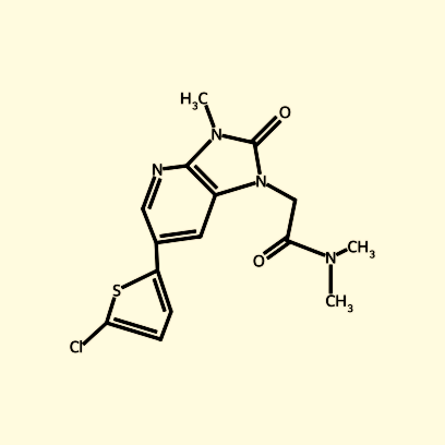 CN(C)C(=O)Cn1c(=O)n(C)c2ncc(-c3ccc(Cl)s3)cc21